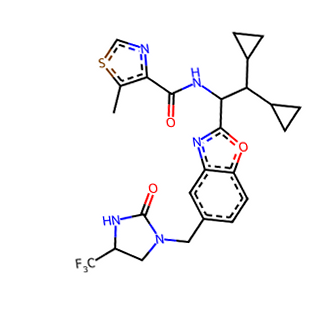 Cc1scnc1C(=O)NC(c1nc2cc(CN3CC(C(F)(F)F)NC3=O)ccc2o1)C(C1CC1)C1CC1